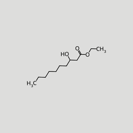 CCCCCCCC(O)CC(=O)OCC